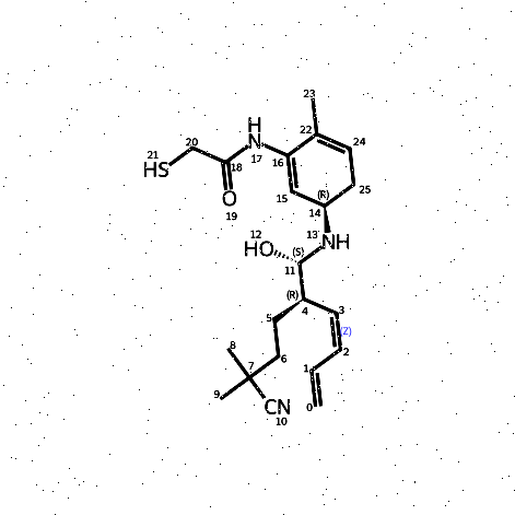 C=C/C=C\[C@@H](CCC(C)(C)C#N)[C@H](O)N[C@H]1C=C(NC(=O)CS)C(C)=CC1